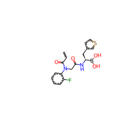 C=CC(=O)N(CC(=O)N[C@@H](Cc1ccsc1)B(O)O)c1ccccc1F